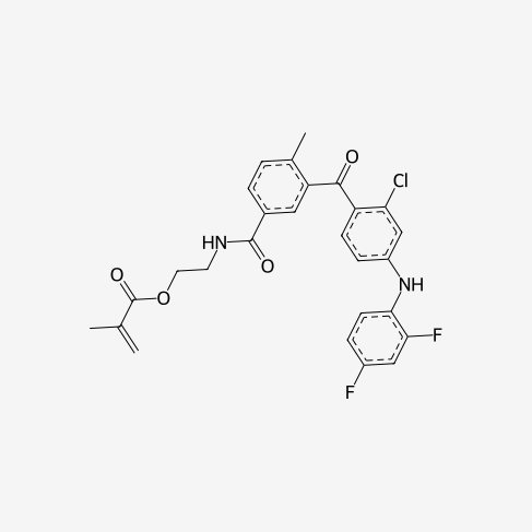 C=C(C)C(=O)OCCNC(=O)c1ccc(C)c(C(=O)c2ccc(Nc3ccc(F)cc3F)cc2Cl)c1